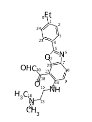 CCc1ccc(-c2nc3ccc(NCCN(C)C)c(C(=O)C=O)c3o2)cc1